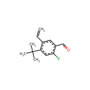 C=Cc1cc(C=O)c(F)cc1C(C)(C)C